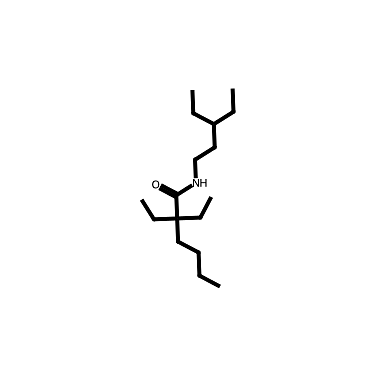 CCCCC(CC)(CC)C(=O)NCCC(CC)CC